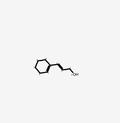 OC/C=C/C1=CCCCC1